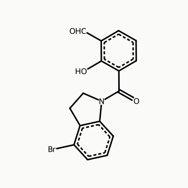 O=Cc1cccc(C(=O)N2CCc3c(Br)cccc32)c1O